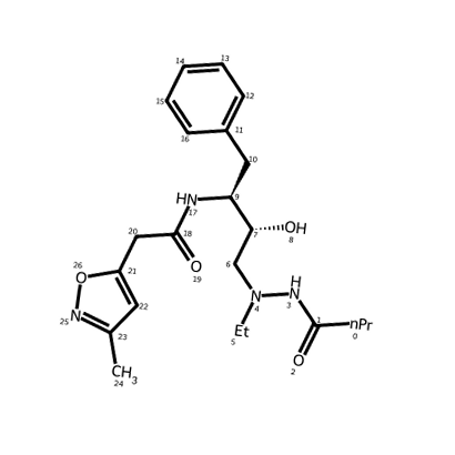 CCCC(=O)NN(CC)C[C@@H](O)[C@H](Cc1ccccc1)NC(=O)Cc1cc(C)no1